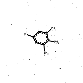 Bc1cc(C(C)C)cc(C)c1P